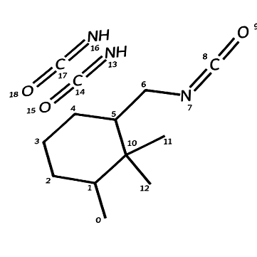 CC1CCCC(CN=C=O)C1(C)C.N=C=O.N=C=O